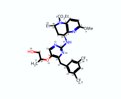 CCOC(=O)N1c2ccc(OC)nc2[C@@H](Nc2ncc(OC(C)CO)c(Cc3cc(C(F)(F)F)cc(C(F)(F)F)c3)n2)C[C@H]1CC